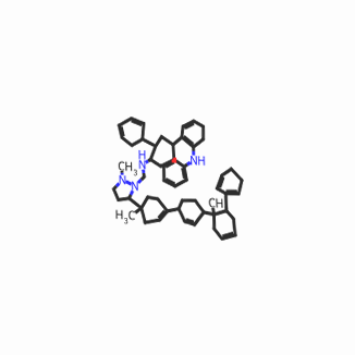 CN1CCC(C2(C)CC=C(C3C=CC(C4(C)CC=CCC4C4=CCCC=C4)CC3)CC2)N1CNC1CCC(C2=C(Nc3ccccc3)CCC=C2)CC1C1C=CC=CC1